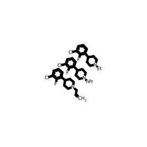 C=CCN1CCC(c2cccc(Cl)c2F)CC1.CCCN1CCC(c2cccc(Cl)c2F)CC1.CCN1CCC(c2cccc(Cl)c2F)CC1